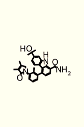 CC1=C(C)C(=O)N(c2cccc(-c3ccc(C(N)=O)c4[nH]c5cc(C(C)(C)O)ccc5c34)c2C)C1